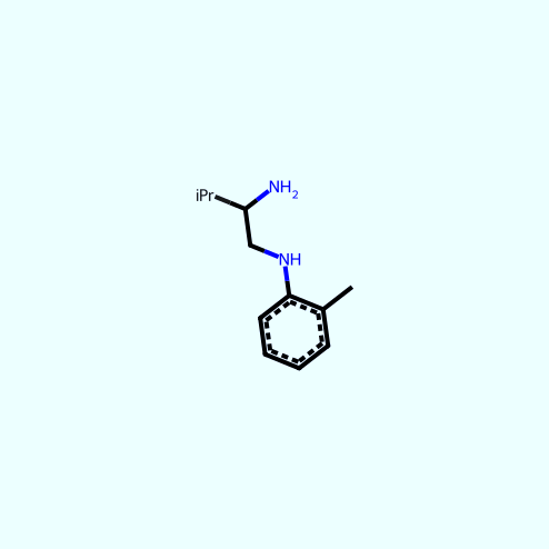 Cc1ccccc1NCC(N)C(C)C